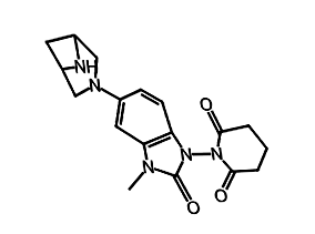 Cn1c(=O)n(N2C(=O)CCCC2=O)c2ccc(N3CC4CC(C3)N4)cc21